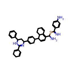 N=C(SC(N)C1=C2C=CCCC2C(C2C=CC(C3CC(c4ccccc4)NC(C4=CCCC=C4)=N3)=CC2)C=C1)c1ccc(N)cc1